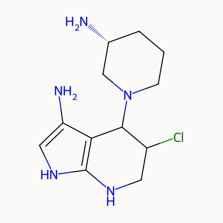 Nc1c[nH]c2c1C(N1CCC[C@@H](N)C1)C(Cl)CN2